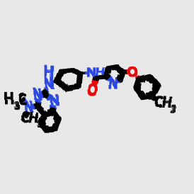 Cc1ccc(Oc2ccc(C(=O)N[C@H]3CC[C@@H](Nc4nc(N(C)C)c5ccccc5n4)CC3)nc2)cc1